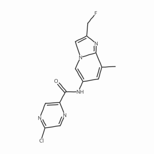 Cc1cc(NC(=O)c2cnc(Cl)cn2)cn2cc(CF)nc12